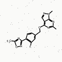 Cc1nc(OCc2ccc(-c3noc(C(F)(F)F)n3)c(F)c2)c2cnn(C)c2n1